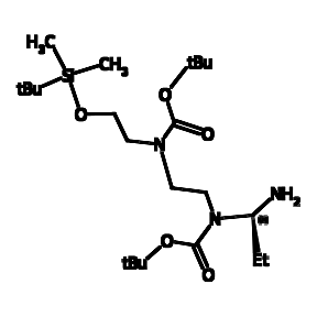 CC[C@H](N)N(CCN(CCO[Si](C)(C)C(C)(C)C)C(=O)OC(C)(C)C)C(=O)OC(C)(C)C